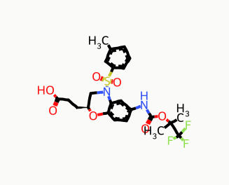 Cc1cccc(S(=O)(=O)N2C[C@H](CCC(=O)O)Oc3ccc(NC(=O)OC(C)(C)C(F)(F)F)cc32)c1